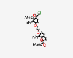 CCCc1c(OCCCOc2ccc(C(=O)CCl)c(OC)c2CCC)ccc2c1OC(C(=O)OC)CC2